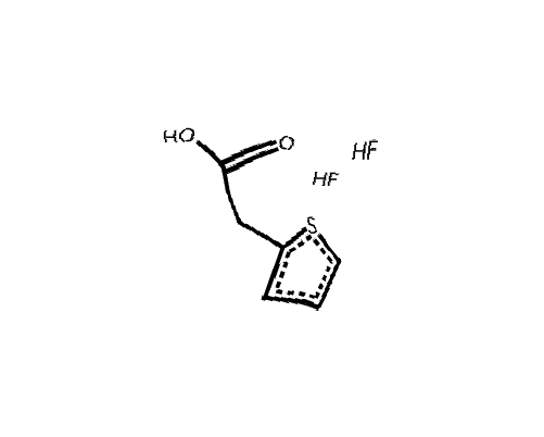 F.F.O=C(O)Cc1cccs1